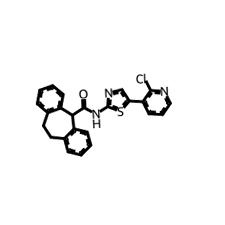 O=C(Nc1ncc(-c2cccnc2Cl)s1)C1c2ccccc2CCc2ccccc21